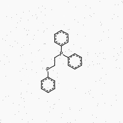 c1ccc([P]CCP(c2ccccc2)c2ccccc2)cc1